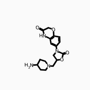 NC1CCN(CC2CN(c3ccc4c(c3)NC(=O)CO4)C(=O)O2)CC1